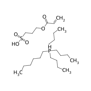 C=CC(=O)OCCCS(=O)(=O)O.CCCCCC[PH](CCCC)(CCCC)CCCC